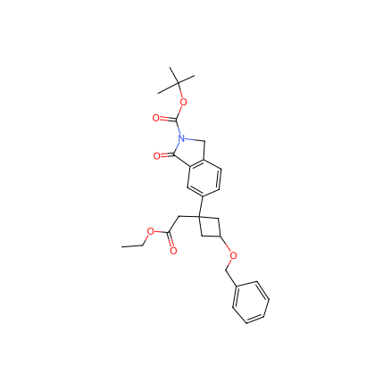 CCOC(=O)CC1(c2ccc3c(c2)C(=O)N(C(=O)OC(C)(C)C)C3)CC(OCc2ccccc2)C1